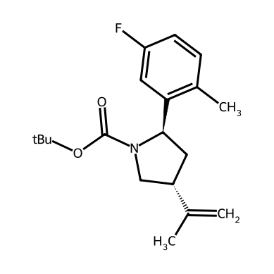 C=C(C)[C@H]1C[C@H](c2cc(F)ccc2C)N(C(=O)OC(C)(C)C)C1